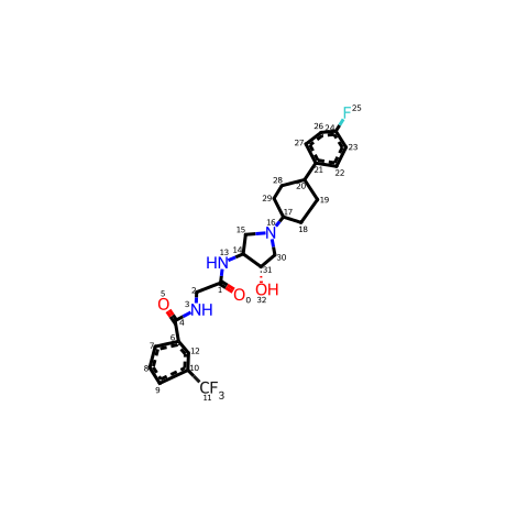 O=C(CNC(=O)c1cccc(C(F)(F)F)c1)NC1CN(C2CCC(c3ccc(F)cc3)CC2)C[C@@H]1O